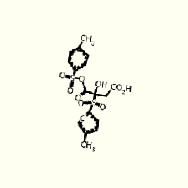 Cc1ccc(S(=O)(=O)OC(=O)C(O)(CC(=O)O)S(=O)(=O)c2ccc(C)cc2)cc1